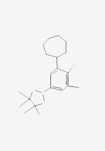 CC1(C)OB(c2cc(N)c(N=O)c(C3CCCCCC3)c2)OC1(C)C